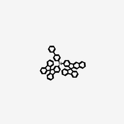 c1ccc(-c2ccc(N(c3ccc4c(c3)C3(c5ccccc5-c5ccccc53)c3ccccc3-4)c3ccc4c(c3)C3(c5ccccc5-c5ccccc53)c3cc5ccccc5cc3-4)cc2)cc1